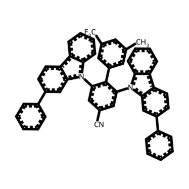 Cc1cc(-c2c(-n3c4ccccc4c4ccc(-c5ccccc5)cc43)cc(C#N)cc2-n2c3ccccc3c3ccc(-c4ccccc4)cc32)cc(C(F)(F)F)c1